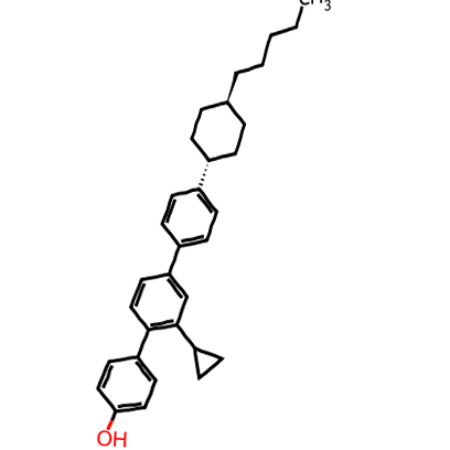 CCCCC[C@H]1CC[C@H](c2ccc(-c3ccc(-c4ccc(O)cc4)c(C4CC4)c3)cc2)CC1